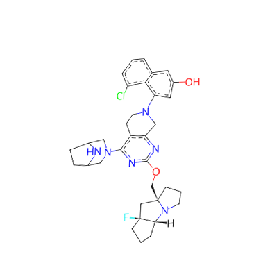 Oc1cc(N2CCc3c(nc(OC[C@@]45CCCN4[C@@H]4CCC[C@]4(F)C5)nc3N3CC4CCC(C3)N4)C2)c2c(Cl)cccc2c1